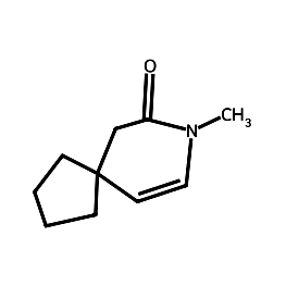 CN1C=CC2(CCCC2)CC1=O